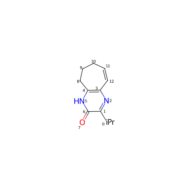 CC(C)c1nc2c([nH]c1=O)CCCC=C2